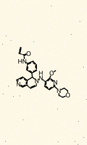 C=CC(=O)Nc1cccc(C2c3ccncc3C=CN2Nc2ccc(N3CCOCC3)nc2OC)c1